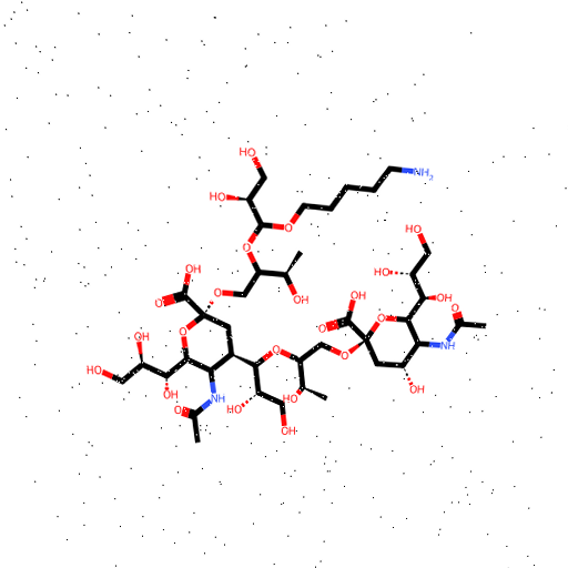 CC(=O)NC1C([C@H](O)[C@H](O)CO)O[C@@](OCC(OC(OCCCCCN)[C@@H](O)CO)[C@@H](C)O)(C(=O)O)C[C@H]1C(OC(CO[C@]1(C(=O)O)C[C@@H](O)C(NC(C)=O)C([C@H](O)[C@H](O)CO)O1)[C@@H](C)O)[C@@H](O)CO